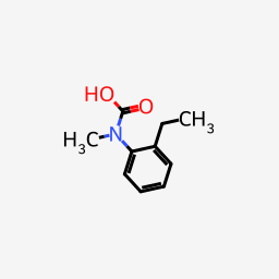 CCc1ccccc1N(C)C(=O)O